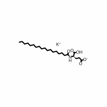 CCCCCCCCCCCCCCCCCC(=O)N[C@H](CCC(=O)[O-])C(=O)O.[K+]